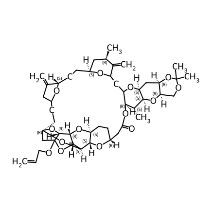 C=CCOC12C[C@]34CCC5CC(=C)[C@H](CC[C@H]6C[C@@H](C)C(=C)C(CC7O[C@H]8C[C@H]9OC(C)(C)OC[C@H]9O[C@H]8[C@H](C)[C@H]7OC(=O)C[C@H]7CC[C@@H]8O[C@H]([C@@H](O1)[C@@H](O3)[C@H]8O7)[C@H]2O4)O6)O5